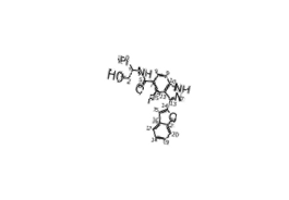 CC(C)C(CO)NC(=O)c1ccc2[nH]nc(-c3cc4ccccc4o3)c2c1F